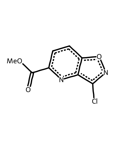 COC(=O)c1ccc2onc(Cl)c2n1